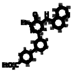 CCOC(=O)c1ccc(-c2cccc(-c3cc(Nc4cccc5ncccc45)c(=O)n(CC)n3)c2)cc1